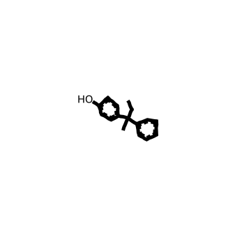 CCC(C)(c1ccccc1)c1ccc(O)cc1